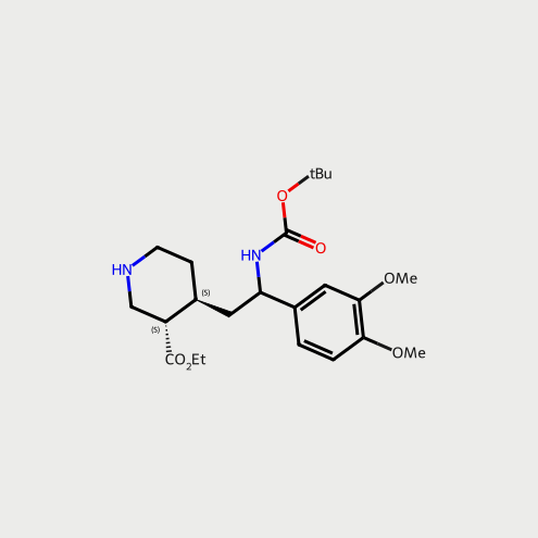 CCOC(=O)[C@@H]1CNCC[C@H]1CC(NC(=O)OC(C)(C)C)c1ccc(OC)c(OC)c1